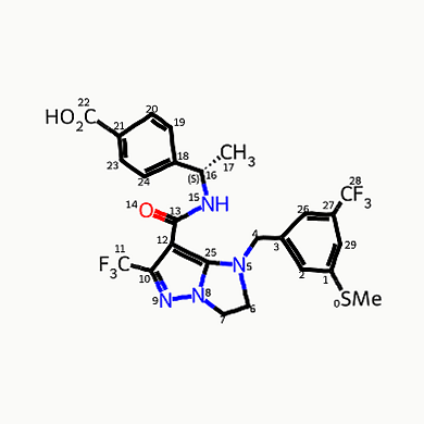 CSc1cc(CN2CCn3nc(C(F)(F)F)c(C(=O)N[C@@H](C)c4ccc(C(=O)O)cc4)c32)cc(C(F)(F)F)c1